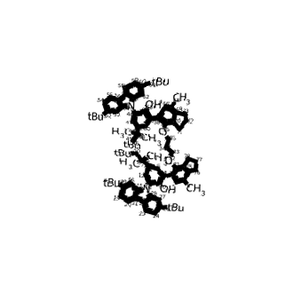 Cc1cc(-c2cc(C(C)(C)CC(C)(C)C)cc(-n3c4cc(C(C)(C)C)ccc4c4ccc(C(C)(C)C)cc43)c2O)c(OCCCOc2c(-c3cc(C(C)(C)CC(C)(C)C)cc(-n4c5cc(C(C)(C)C)ccc5c5ccc(C(C)(C)C)cc54)c3O)cc(C)c3c2CCC3)c2c1CCC2